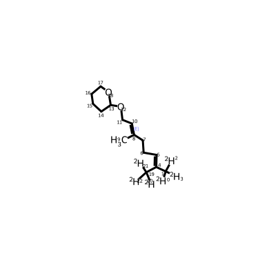 [2H]C([2H])([2H])C(=CCC/C(C)=C/COC1CCCCO1)C([2H])([2H])[2H]